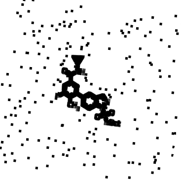 CCCCCCCCS(=O)(=O)n1ncc2cc(-c3cc(C(=O)NC4CC4)cc(F)c3C)ccc21